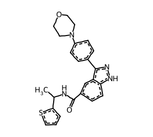 CC(NC(=O)c1ccc2[nH]nc(-c3ccc(N4CCOCC4)cc3)c2c1)c1cccs1